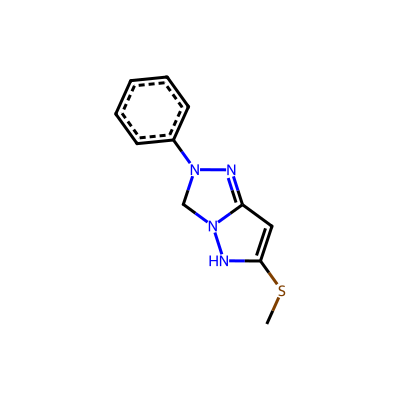 CSC1=CC2=NN(c3ccccc3)CN2N1